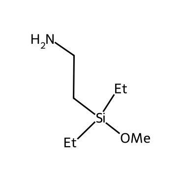 CC[Si](CC)(CCN)OC